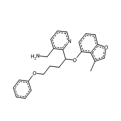 Cc1coc2cccc(OC(CCCOc3ccccc3)c3ncccc3CN)c12